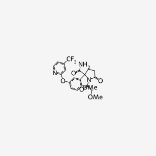 COCC(=O)N1C(=O)CCC1(C(N)=O)c1cc(Oc2cc(C(F)(F)F)ccn2)ccc1OC